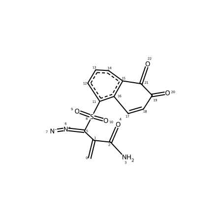 C=C(C(N)=O)C(=[N+]=[N-])S(=O)(=O)c1cccc2c1C=CC(=O)C2=O